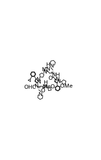 COc1cccc(OC)c1-c1cc(C(=O)N[C@@H](CCN2CCCCC2)Cc2nnc[nH]2)nn1C1CCCC1.O=CN(c1cc(-c2ccccc2C2CC2)n(C2CCCC2)n1)[C@@H](CCN1CCCCC1)CC(=O)NC1CCC1